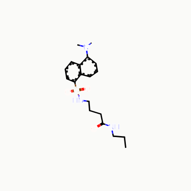 CCCNC(=O)CCCNS(=O)(=O)c1cccc2c(N(C)C)cccc12